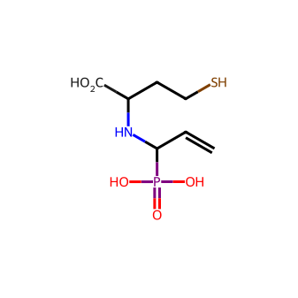 C=CC(NC(CCS)C(=O)O)P(=O)(O)O